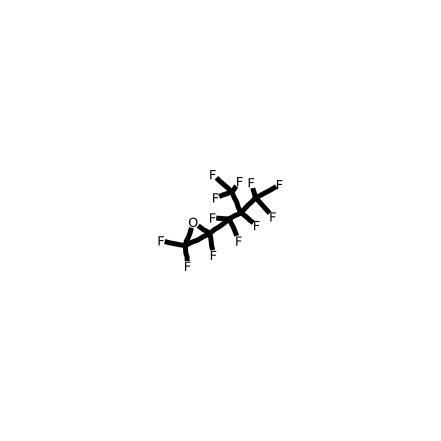 FC(F)(F)C(F)(C(F)(F)F)C(F)(F)C1(F)OC1(F)F